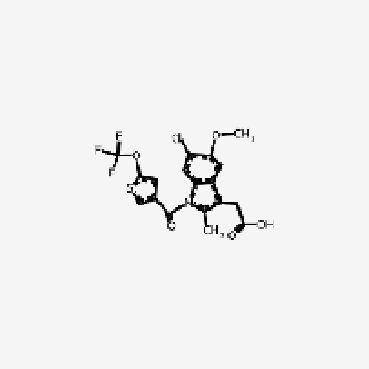 COc1cc2c(CC(=O)O)c(C)n(C(=O)c3csc(OC(F)(F)F)c3)c2cc1Cl